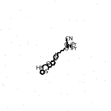 CC(C)N(C(C)C)P(OCCC#N)OCCCCCN1CCN(c2ccc3c(c2)OC2CCNc4ccccc4SCC2=C3)CC1